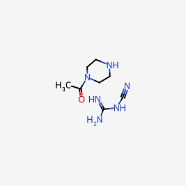 CC(=O)N1CCNCC1.N#CNC(=N)N